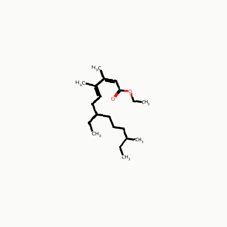 CCOC(=O)C=C(C)C(C)=CCC(CC)CCCC(C)CC